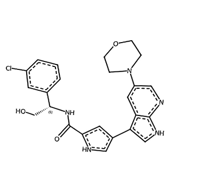 O=C(N[C@H](CO)c1cccc(Cl)c1)c1cc(-c2c[nH]c3ncc(N4CCOCC4)cc23)c[nH]1